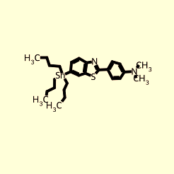 CCC[CH2][Sn]([CH2]CCC)([CH2]CCC)[c]1ccc2nc(-c3ccc(N(C)C)cc3)sc2c1